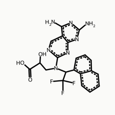 Nc1nc(N)c2cnc(N(CC(O)C(=O)O)C(c3cccc4ccccc34)C(F)(F)F)nc2n1